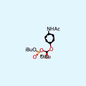 CC(=O)Nc1ccc(OC(=O)OP(=O)(OCC(C)C)OCC(C)C)cc1